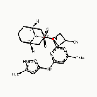 COc1cc(Nc2cc(C)[nH]n2)nc(N[C@@H]2C[C@H]3CCC[C@@H](C2)N3S(=O)(=O)N2CC(C#N)C2)n1